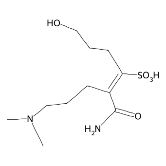 CN(C)CCCC(C(N)=O)=C(CCCO)S(=O)(=O)O